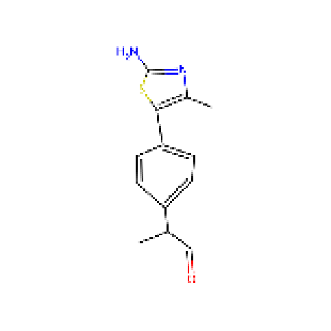 Cc1nc(N)sc1-c1ccc(C(C)C=O)cc1